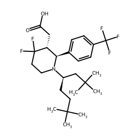 CC(C)(C)CC[C@H](CC(C)(C)C)N1CCC(F)(F)[C@H](CC(=O)O)[C@H]1c1ccc(C(F)(F)F)cc1